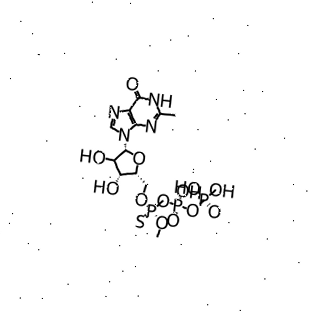 COP(=S)(OC[C@H]1O[C@@H](n2cnc3c(=O)[nH]c(C)nc32)C(O)[C@H]1O)OP(=O)(O)OP(=O)(O)O